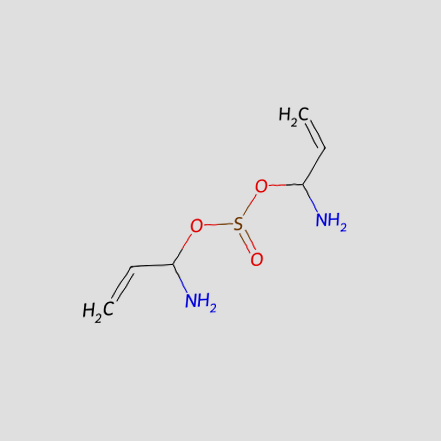 C=CC(N)OS(=O)OC(N)C=C